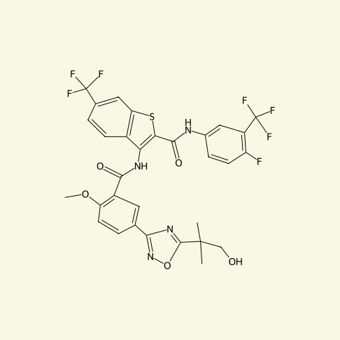 COc1ccc(-c2noc(C(C)(C)CO)n2)cc1C(=O)Nc1c(C(=O)Nc2ccc(F)c(C(F)(F)F)c2)sc2cc(C(F)(F)F)ccc12